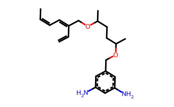 C=C/C(=C\C=C/C)COC(C)CCC(C)OCc1cc(N)cc(N)c1